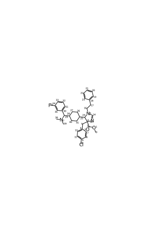 COC(=O)C1(Cc2ccc(Cl)cc2)N=CN(CCc2ccccc2)C1C1CCC(C(c2cccc(F)c2)N(C)C)CC1